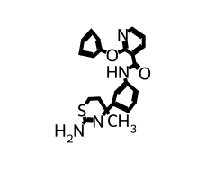 CC1(c2cccc(NC(=O)c3cccnc3Oc3ccccc3)c2)CCSC(N)=N1